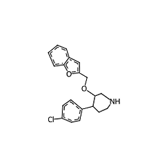 Clc1ccc(C2CCNCC2OCc2cc3ccccc3o2)cc1